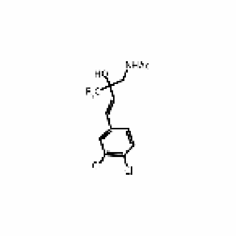 CC(=O)NCC(O)(/C=C/c1ccc(Cl)c(Cl)c1)C(F)(F)F